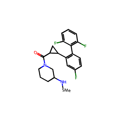 CSNC1CCCN(C(=O)C2CC2c2cc(F)ccc2-c2c(F)cccc2F)C1